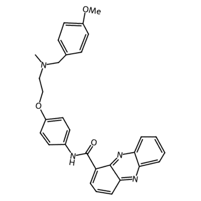 COc1ccc(CN(C)CCOc2ccc(NC(=O)c3cccc4nc5ccccc5nc34)cc2)cc1